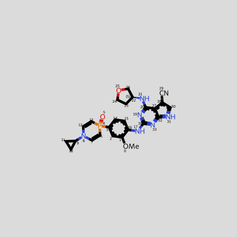 COc1cc(P2(=O)C=CN(C3CC3)C=C2)ccc1Nc1nc(N[C@H]2CCOC2)c2c(C#N)c[nH]c2n1